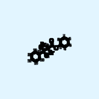 O=C(Oc1ccccc1)C(Br)(Br)S(=O)(=O)c1ccccc1